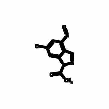 CC(=O)n1ncc2c(N=O)cc(Cl)cc21